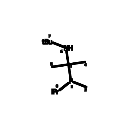 CC(C)P(C)C(C)(C)NC(C)(C)C